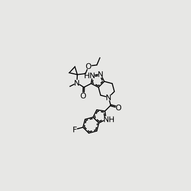 CCOCC1(N(C)C(=O)c2[nH]nc3c2CN(C(=O)c2cc4cc(F)ccc4[nH]2)CC3)CC1